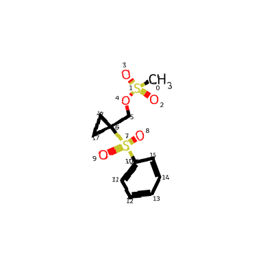 CS(=O)(=O)OCC1(S(=O)(=O)c2ccccc2)CC1